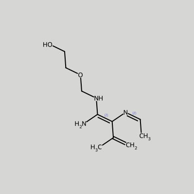 C=C(C)C(/N=C\C)=C(\N)NCOCCO